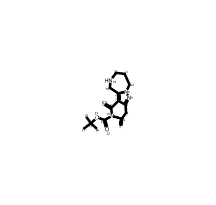 C=C1Cc2nn3c(c2C(=S)N1C(=O)OC(C)(C)C)CNCCC3